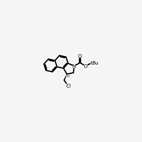 CC(C)(C)OC(=O)N1C[C@@H](CCl)c2c1ccc1ccccc21